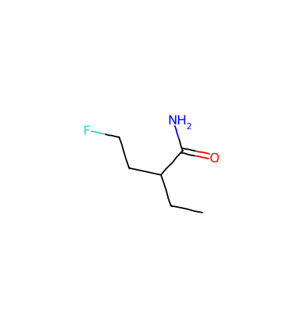 CCC(CCF)C(N)=O